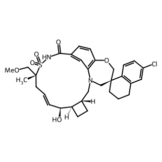 COC[C@@]1(C)C/C=C/[C@H](O)[C@@H]2CC[C@H]2CN2C[C@@]3(CCCc4cc(Cl)ccc43)COc3ccc(cc32)C(=O)NS1(=O)=O